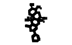 CC1C2C[C@H](O)[C@@]3(C)Oc4cc(-c5cccnc5)oc(=O)c4[C@H](O)C3[C@@]2(C)CC[C@@H]1O